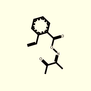 C=Cc1ccccc1C(=O)ON=C(C)C(C)=O